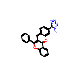 O=c1c(Cc2ccc(-c3nnn[nH]3)cc2)c(-c2ccccc2)oc2ccccc12